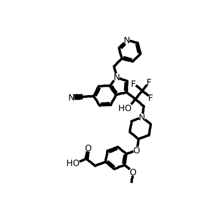 COc1cc(CC(=O)O)ccc1OC1CCN(CC(O)(c2cn(Cc3cccnc3)c3cc(C#N)ccc23)C(F)(F)F)CC1